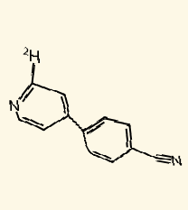 [2H]c1cc(-c2ccc(C#N)cc2)ccn1